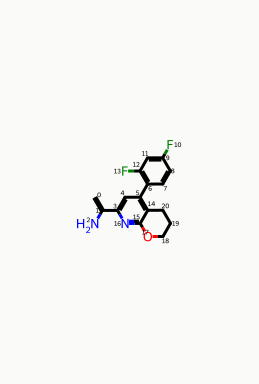 C=C(N)c1cc(-c2ccc(F)cc2F)c2c(n1)OCCC2